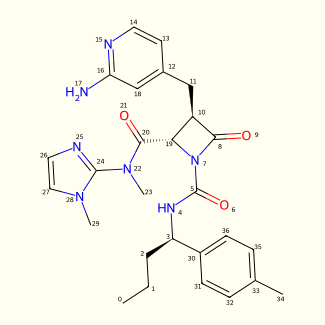 CCC[C@@H](NC(=O)N1C(=O)[C@H](Cc2ccnc(N)c2)[C@H]1C(=O)N(C)c1nccn1C)c1ccc(C)cc1